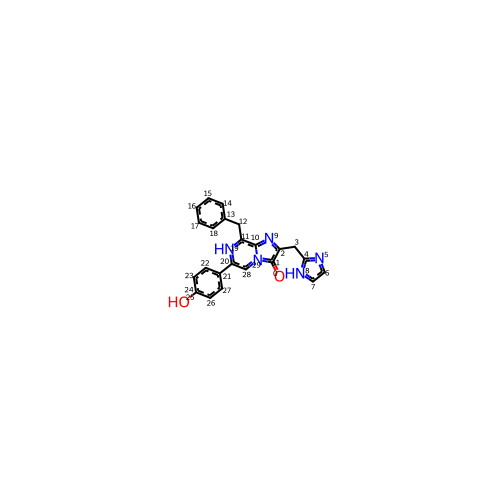 O=c1c(Cc2ncc[nH]2)nc2c(Cc3ccccc3)[nH]c(-c3ccc(O)cc3)cn1-2